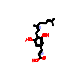 CC(C)=CCC/C(C)=C/Cc1c(O)cc(/C=C/C(=O)O)cc1O